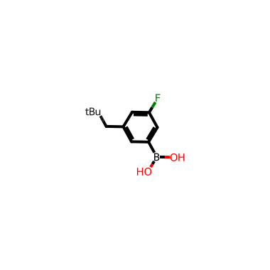 CC(C)(C)Cc1cc(F)cc(B(O)O)c1